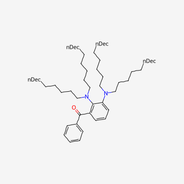 CCCCCCCCCCCCCCCN(CCCCCCCCCCCCCCC)c1cccc(C(=O)c2ccccc2)c1N(CCCCCCCCCCCCCCC)CCCCCCCCCCCCCCC